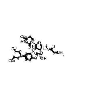 NCC(=O)NC[C@H]1O[C@@H](n2ccc(=O)[nH]c2=O)[C@H](O)[C@@H]1OP(=O)(O)Oc1ccc(N(CCCl)CCCl)cc1